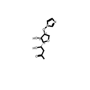 CC(=O)CC(O)[C@H]1O[CH][C@H](On2ccnc2)[C@@H]1O